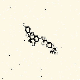 CCS(=O)(=O)c1cnc(CC(=O)Nc2cc(Cl)c(C3(c4nc5ccc(F)cc5o4)CC3)c(Cl)c2)cn1